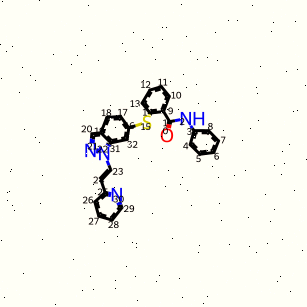 O=C(Nc1ccccc1)c1ccccc1Sc1ccc2cnn(C=Cc3ccccn3)c2c1